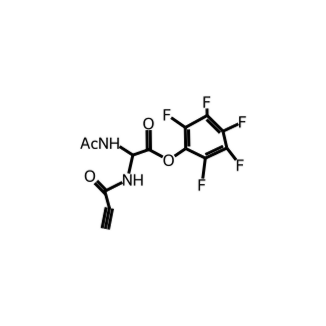 C#CC(=O)NC(NC(C)=O)C(=O)Oc1c(F)c(F)c(F)c(F)c1F